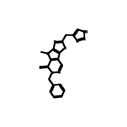 Cn1c2nc(Cc3c[nH]nn3)sc2c2cnn(Cc3ccccc3)c(=O)c21